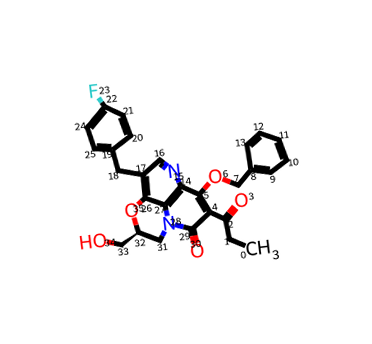 CCC(=O)c1c(OCc2ccccc2)c2ncc(Cc3ccc(F)cc3)c3c2n(c1=O)C[C@@H](CO)O3